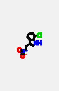 O=[N+]([O-])C=Cc1c[nH]c2c(Cl)cccc12